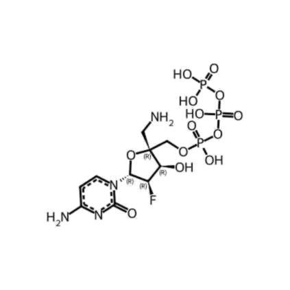 NC[C@]1(COP(=O)(O)OP(=O)(O)OP(=O)(O)O)O[C@@H](n2ccc(N)nc2=O)[C@H](F)[C@@H]1O